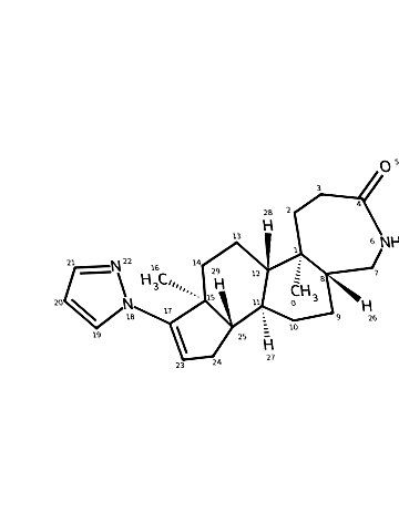 C[C@]12CCC(=O)NC[C@@H]1CC[C@@H]1[C@@H]2CC[C@]2(C)C(n3cccn3)=CC[C@@H]12